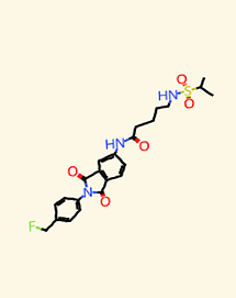 CC(C)S(=O)(=O)NCCCCC(=O)Nc1ccc2c(c1)C(=O)N(c1ccc(CF)cc1)C2=O